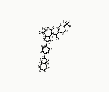 CC(C)N(C(=O)C1CCC(C(F)(F)F)CC1)c1cc(-c2ccc(-c3nc4ncccc4o3)cc2)sc1C(=O)O